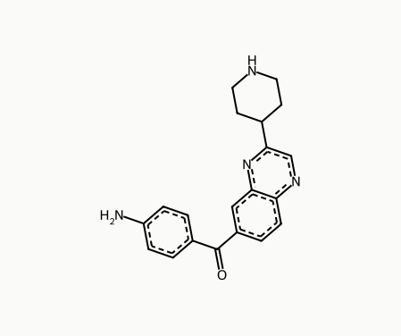 Nc1ccc(C(=O)c2ccc3ncc(C4CCNCC4)nc3c2)cc1